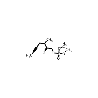 CC#CCC(C)C(=O)COP(=O)(OC)OC